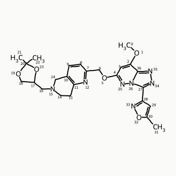 COc1cc(OCc2ccc3c(n2)CCN(CC2COC(C)(C)O2)C3)nn2c(-c3cc(C)on3)nnc12